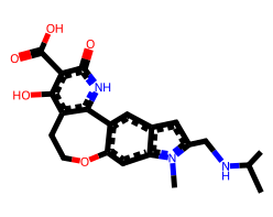 CC(C)NCc1cc2cc3c(cc2n1C)OCCc1c-3[nH]c(=O)c(C(=O)O)c1O